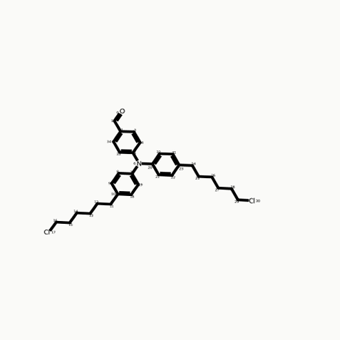 O=Cc1ccc(N(c2ccc(CCCCCCCl)cc2)c2ccc(CCCCCCCl)cc2)cc1